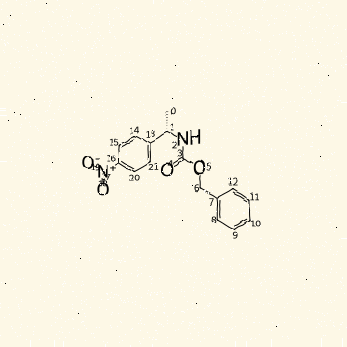 C[C@H](NC(=O)OCc1ccccc1)c1ccc([N+](=O)[O-])cc1